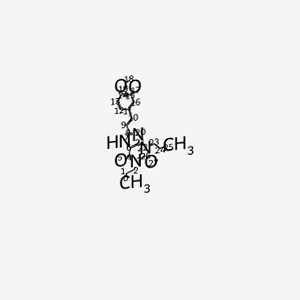 CCCn1c(=O)c2[nH]c(C=Cc3ccc4c(c3)OCO4)nc2n(CCC)c1=O